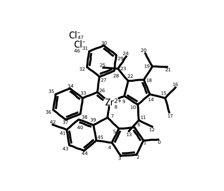 Cc1ccc2c(c1)[CH]([Zr+2]([C]1=C(C(C)C)C(C(C)C)=C(C(C)C)C1C(C)C)=[C](c1ccccc1)c1ccccc1)c1cc(C)ccc1-2.[Cl-].[Cl-]